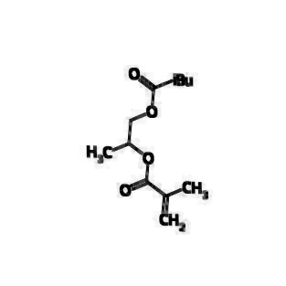 C=C(C)C(=O)OC(C)COC(=O)C(C)CC